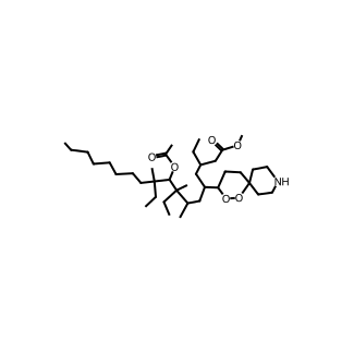 CCCCCCCCC(C)(CC)C(OC(C)=O)C(C)(CC)C(C)CC(CC(CC)CC(=O)OC)C1CCC2(CCNCC2)OO1